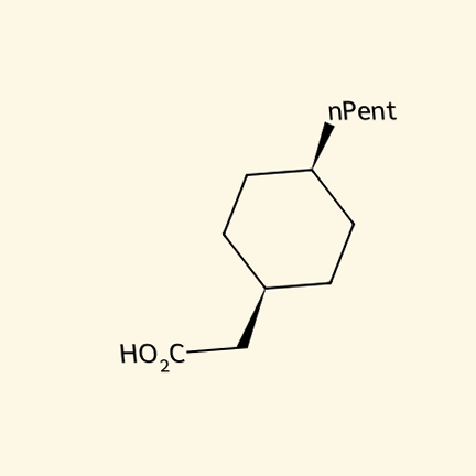 CCCCC[C@H]1CC[C@@H](CC(=O)O)CC1